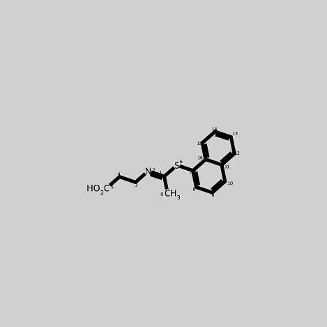 C/C(=N\CCC(=O)O)Sc1cccc2ccccc12